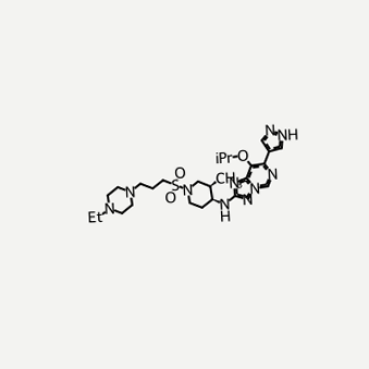 CCN1CCN(CCCS(=O)(=O)N2CC[C@H](Nc3nc4c(OC(C)C)c(-c5cn[nH]c5)ncn4n3)[C@H](C)C2)CC1